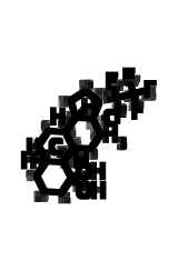 C[C@]12CC[C@H]3[C@@H](CC[C@H]4CCCC(O)(O)[C@@]43C)[C@@H]1CC[C@@H]2C(F)(F)C(F)(F)F